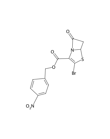 O=C(OCc1ccc([N+](=O)[O-])cc1)C1=C(Br)SC2CC(=O)N12